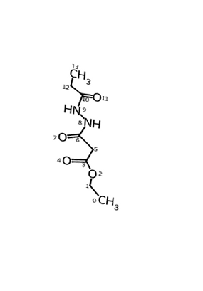 CCOC(=O)CC(=O)NNC(=O)CC